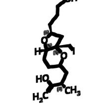 C=C(O)[C@H](C)CC1CC[C@@H]2O[C@@H](CCCO)C[C@]2(CI)O1